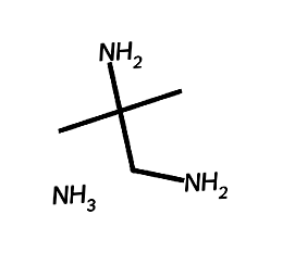 CC(C)(N)CN.N